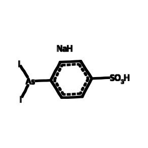 O=S(=O)(O)c1ccc([As](I)I)cc1.[NaH]